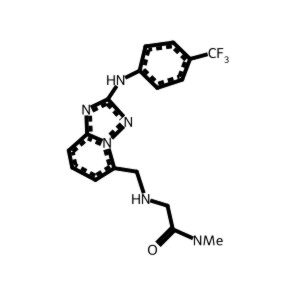 CNC(=O)CNCc1cccc2nc(Nc3ccc(C(F)(F)F)cc3)nn12